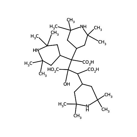 CC1(C)CC(C(C(=O)O)C(O)(C(=O)O)C(C(=O)O)(C2CC(C)(C)NC(C)(C)C2)C2CC(C)(C)NC(C)(C)C2)CC(C)(C)N1